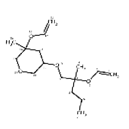 C=COC(C)(CCC)COC1COCC(C)(OC=C)C1